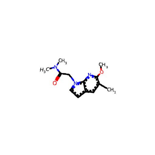 COc1nc2c(ccn2CC(=O)N(C)C)cc1C